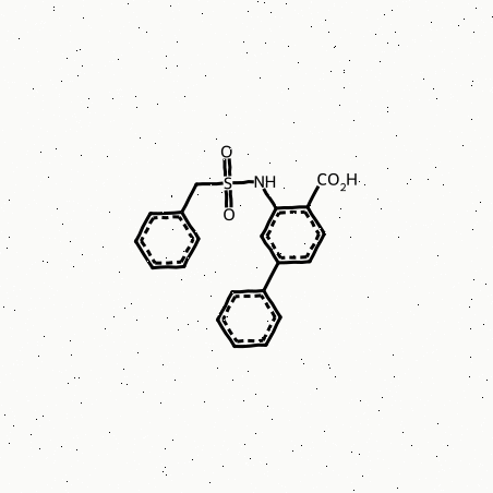 O=C(O)c1ccc(-c2ccccc2)cc1NS(=O)(=O)Cc1ccccc1